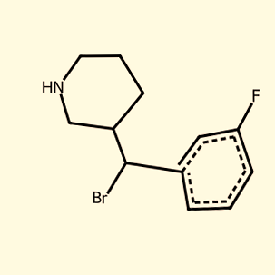 Fc1cccc(C(Br)C2CCCNC2)c1